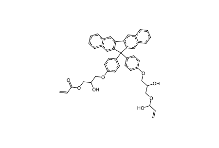 C=CC(=O)OCC(O)COc1ccc(C2(c3ccc(OCC(O)COC(O)C=C)cc3)c3cc4ccccc4cc3-c3cc4ccccc4cc32)cc1